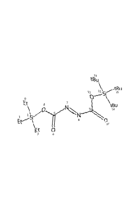 CC[Si](CC)(CC)OC(=O)N=NC(=O)O[Si](C(C)(C)C)(C(C)(C)C)C(C)(C)C